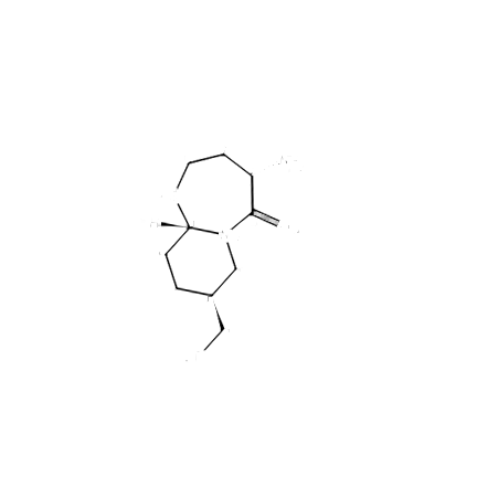 N[C@H]1CCS[C@H]2CC[C@H](CF)CN2C1=O